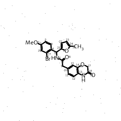 COc1ccc(C(NC(=O)Cc2ccc3c(c2)OCC(=O)N3)c2ccc(C)o2)c(Br)c1